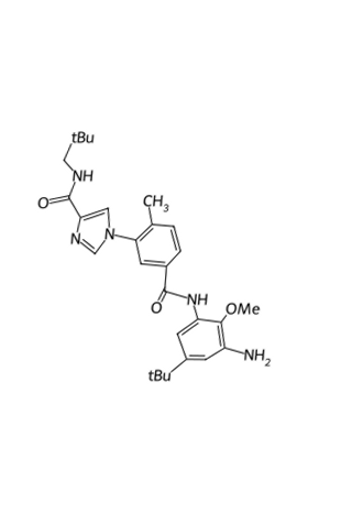 COc1c(N)cc(C(C)(C)C)cc1NC(=O)c1ccc(C)c(-n2cnc(C(=O)NCC(C)(C)C)c2)c1